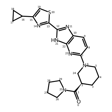 O=C([C@@H]1CCCN(c2ccc3nc(-c4nc(C5CC5)cs4)[nH]c3n2)C1)N1CCCC1